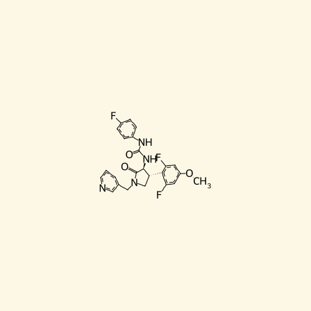 COc1cc(F)c([C@@H]2CN(Cc3cccnc3)C(=O)[C@H]2NC(=O)Nc2ccc(F)cc2)c(F)c1